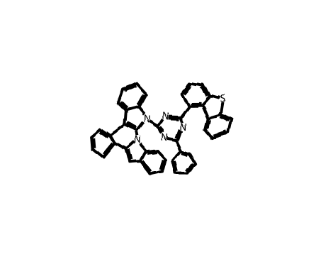 c1ccc(-c2nc(-c3cccc4sc5ccccc5c34)nc(-n3c4ccccc4c4c5ccccc5c5cc6ccccc6n5c43)n2)cc1